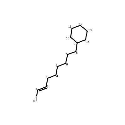 IC=CCCCCCCC1CCCCC1